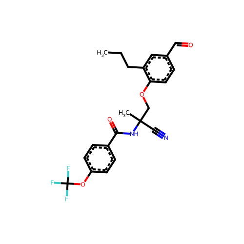 CCCc1[c]c(C=O)ccc1OCC(C)(C#N)NC(=O)c1ccc(OC(F)(F)F)cc1